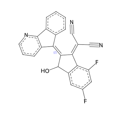 N#CC(C#N)=C1/C(=C2\c3ccccc3-c3ncccc32)C(O)c2cc(F)cc(F)c21